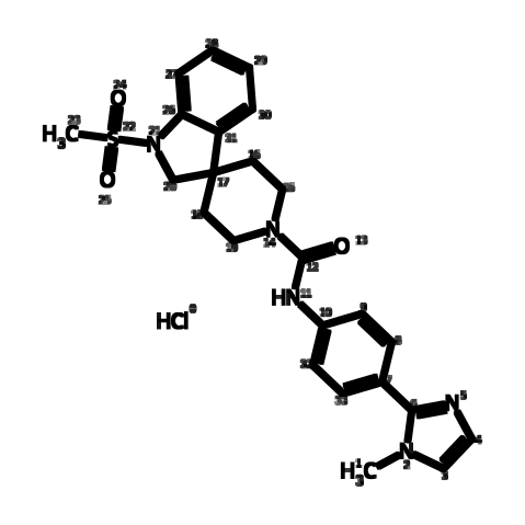 Cl.Cn1ccnc1-c1ccc(NC(=O)N2CCC3(CC2)CN(S(C)(=O)=O)c2ccccc23)cc1